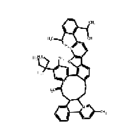 C=C1CC2c3ccccc3-c3ccc(C)c[n+]3C2CCc2ccc3c(oc4nc(-c5c(C(C)C)cccc5C(C)C)ccc43)c2-c2cc(C)c(C(C)(CC)CC)c[n+]21